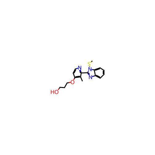 CSn1c(-c2nccc(OCCCO)c2C)nc2ccccc21